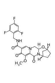 COc1c2n(cc(C(=O)NCc3c(F)cc(F)cc3F)c1=O)C[C@H]1O[C@@H]3CC[C@@H](C3)N1C2=O